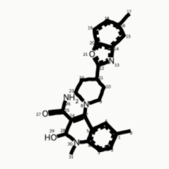 Cc1ccc2c(c1)C(N1CCC(c3nc4cc(C)ccc4o3)CC1)=C(C(N)=O)C(O)N2C